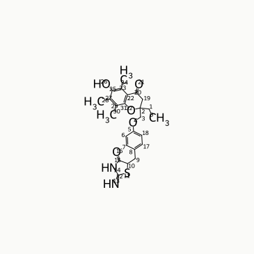 CCC1(COc2ccc(CC3SC(=N)NC3=O)cc2)CC(=O)c2c(C)c(O)c(C)c(C)c2O1